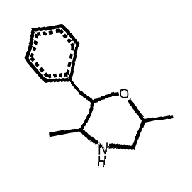 CC1CNC(C)C(c2ccccc2)O1